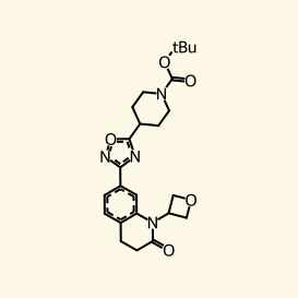 CC(C)(C)OC(=O)N1CCC(c2nc(-c3ccc4c(c3)N(C3COC3)C(=O)CC4)no2)CC1